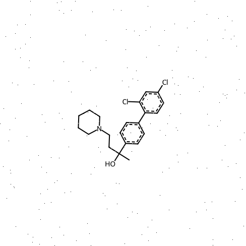 CC(O)(CCN1CCCCC1)c1ccc(-c2ccc(Cl)cc2Cl)cc1